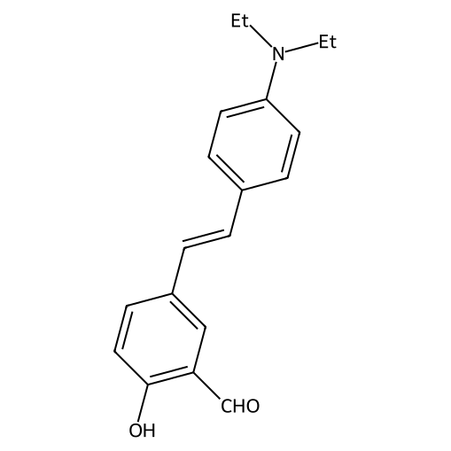 CCN(CC)c1ccc(/C=C/c2ccc(O)c(C=O)c2)cc1